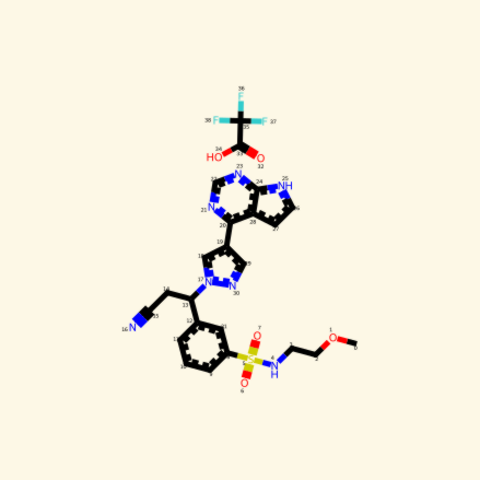 COCCNS(=O)(=O)c1cccc(C(CC#N)n2cc(-c3ncnc4[nH]ccc34)cn2)c1.O=C(O)C(F)(F)F